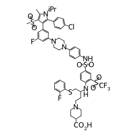 Cc1c(S(C)(=O)=O)c(-c2cc(F)cc(N3CCN(c4ccc(NS(=O)(=O)c5ccc(NC(CCN6CCC(C(=O)O)CC6)CSc6ccccc6F)c(S(=O)(=O)C(F)(F)F)c5)cc4)CC3)c2)c(-c2ccc(Cl)cc2)n1C(C)C